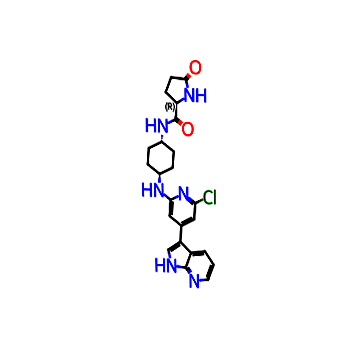 O=C1CC[C@H](C(=O)N[C@H]2CC[C@H](Nc3cc(-c4c[nH]c5ncccc45)cc(Cl)n3)CC2)N1